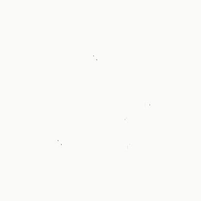 CN(C)c1ccc(C(=O)S(C)(C)C(=O)c2ccc(N(C)C)cc2)cc1